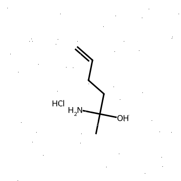 C=CCCC(C)(N)O.Cl